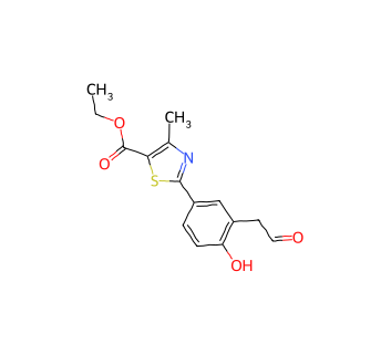 CCOC(=O)c1sc(-c2ccc(O)c(CC=O)c2)nc1C